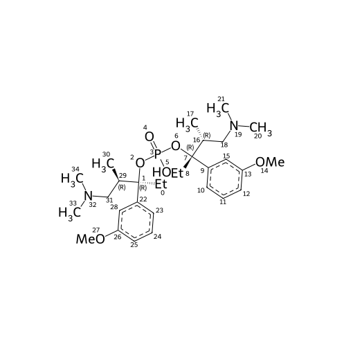 CC[C@](OP(=O)(O)O[C@@](CC)(c1cccc(OC)c1)[C@H](C)CN(C)C)(c1cccc(OC)c1)[C@H](C)CN(C)C